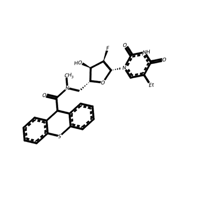 CCc1cn([C@@H]2O[C@H](CN(C)C(=O)C3c4ccccc4Sc4ccccc43)[C@@H](O)[C@H]2F)c(=O)[nH]c1=O